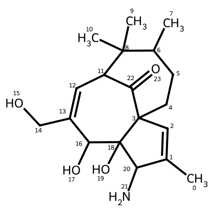 CC1=CC23CCC(C)C(C)(C)C(C=C(CO)C(O)C2(O)C1N)C3=O